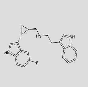 Fc1ccc2[nH]cc([C@@H]3C[C@H]3CNCCc3c[nH]c4ccccc34)c2c1